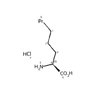 CC(C)CCC[C@H](N)C(=O)O.Cl